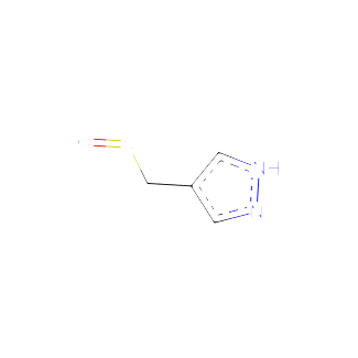 O=[S+]Cc1cn[nH]c1